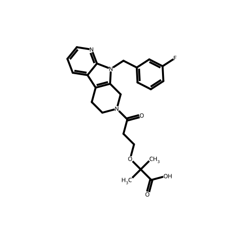 CC(C)(OCCC(=O)N1CCc2c(n(Cc3cccc(F)c3)c3ncccc23)C1)C(=O)O